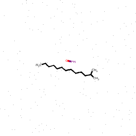 CCCCCCCCCCCC(C)C.O=P